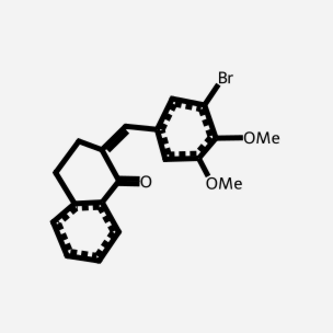 COc1cc(C=C2CCc3ccccc3C2=O)cc(Br)c1OC